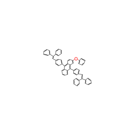 C(=C(c1ccccc1)c1ccccc1)c1ccc(-c2c3ccccc3c(-c3ccc(C=C(c4ccccc4)c4ccccc4)cc3)c3cc(Oc4ccccc4)ccc23)cc1